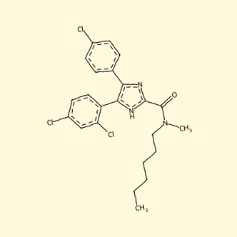 CCCCCCN(C)C(=O)c1nc(-c2ccc(Cl)cc2)c(-c2ccc(Cl)cc2Cl)[nH]1